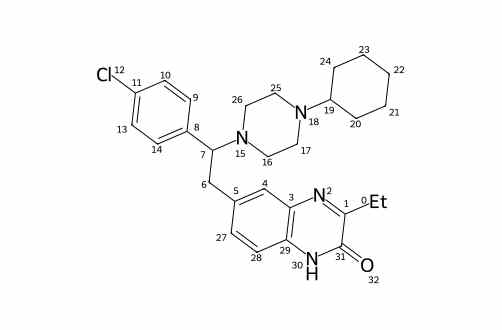 CCc1nc2cc(CC(c3ccc(Cl)cc3)N3CCN(C4CCCCC4)CC3)ccc2[nH]c1=O